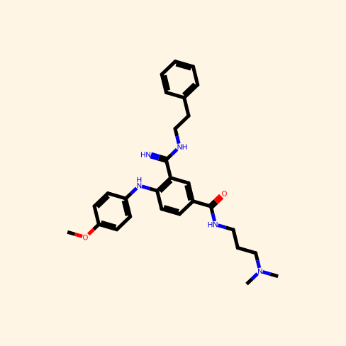 COc1ccc(Nc2ccc(C(=O)NCCCN(C)C)cc2C(=N)NCCc2ccccc2)cc1